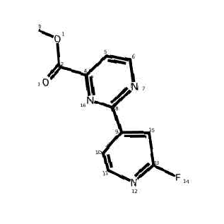 COC(=O)c1ccnc(-c2ccnc(F)c2)n1